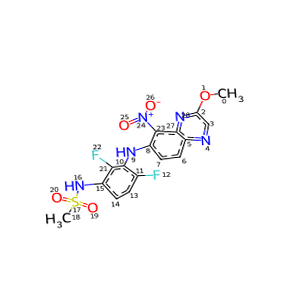 COc1cnc2ccc(Nc3c(F)ccc(NS(C)(=O)=O)c3F)c([N+](=O)[O-])c2n1